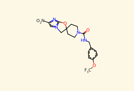 O=C(NCc1ccc(OC(F)(F)F)cc1)N1CCC2(CC1)Cn1cc([N+](=O)[O-])nc1O2